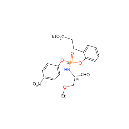 CCOC[C@@H](C=O)N[P@@](=O)(Oc1ccc([N+](=O)[O-])cc1)Oc1ccccc1CCC(=O)OCC